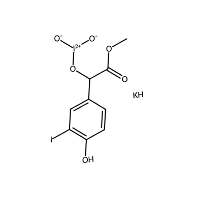 COC(=O)C(O[I+2]([O-])[O-])c1ccc(O)c(I)c1.[KH]